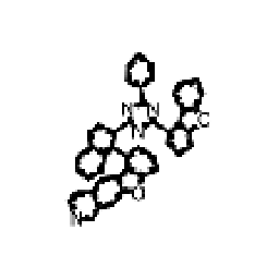 c1ccc(-c2nc(-c3ccc4ccccc4c3-c3cccc4oc5cc6cnccc6cc5c34)nc(-c3cccc4oc5ccccc5c34)n2)cc1